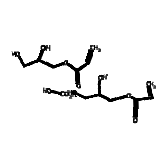 C=CC(=O)OCC(O)CO.C=CC(=O)OCC(O)CO.O=C(O)O